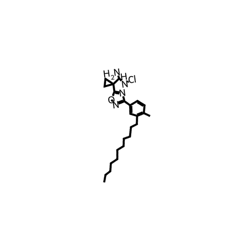 CCCCCCCCCCCc1cc(-c2noc(C3(C(N)NCl)CC3)n2)ccc1C